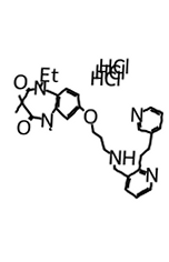 CCN1C(=O)C(C)(C)C(=O)N(C)c2cc(OCCCNCc3cccnc3CCc3cccnc3)ccc21.Cl.Cl.Cl